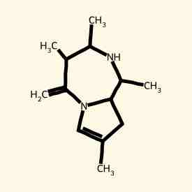 C=C1C(C)C(C)NC(C)C2CC(C)=CN12